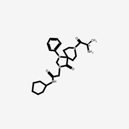 C[C@@H](N)C(=O)N1CCC2(CC1)C(=O)N(CC(=O)NC1CCCCC1)CN2c1ccccc1